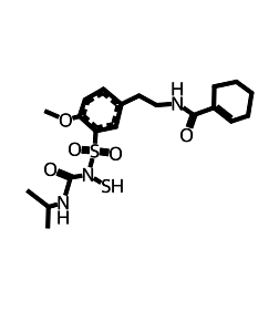 COc1ccc(CCNC(=O)C2=CCCCC2)cc1S(=O)(=O)N(S)C(=O)NC(C)C